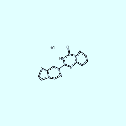 Cl.O=c1[nH]c(-c2cc3sccc3cn2)nc2ccccc12